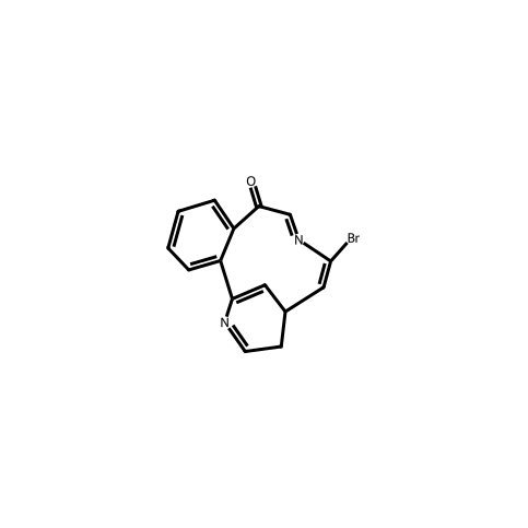 O=C1/C=N/C(Br)=C\C2C=C(N=CC2)c2ccccc21